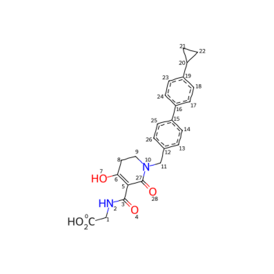 O=C(O)CNC(=O)C1=C(O)CCN(Cc2ccc(-c3ccc(C4CC4)cc3)cc2)C1=O